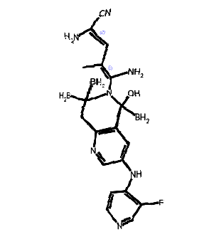 BC1(B)Cc2ncc(Nc3ccncc3F)cc2C(B)(O)N1/C(N)=C(C)/C=C(\N)C#N